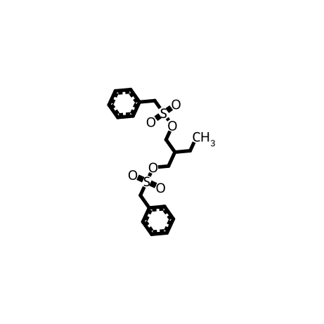 CCC(COS(=O)(=O)Cc1ccccc1)COS(=O)(=O)Cc1ccccc1